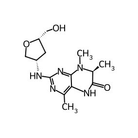 Cc1nc(N[C@@H]2CO[C@H](CO)C2)nc2c1NC(=O)[C@H](C)N2C